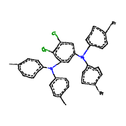 Cc1ccc(N(c2ccc(C)cc2)c2cc(N(c3ccc(C(C)C)cc3)c3ccc(C(C)C)cc3)cc(Cl)c2Cl)cc1